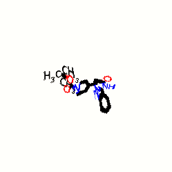 CC(C)(C)OC(=O)N1CCC(c2cc(=O)[nH]c3c4c(nn23)CCCC4)CC1